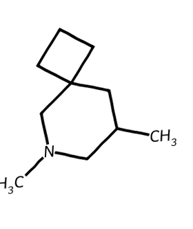 CC1CN(C)CC2(CCC2)C1